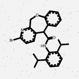 CC(C)c1cccc(C(C)C)c1NC(=O)C1c2ccccc2OCc2nc(Br)ccc21